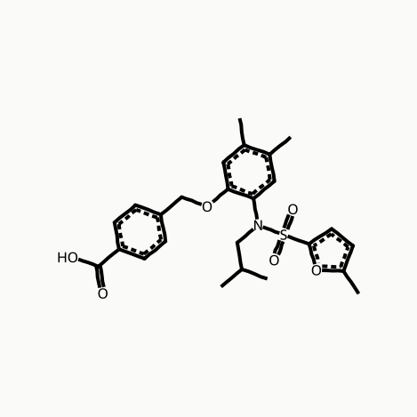 Cc1ccc(S(=O)(=O)N(CC(C)C)c2cc(C)c(C)cc2OCc2ccc(C(=O)O)cc2)o1